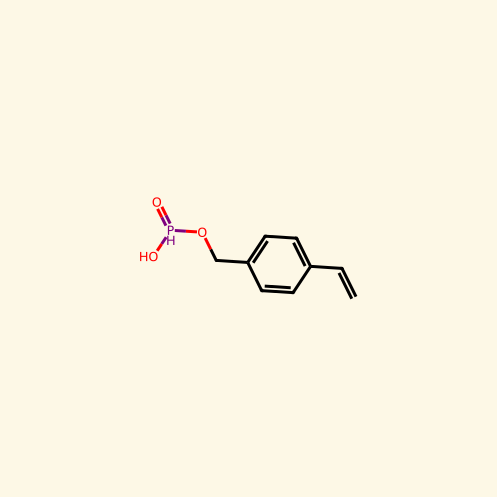 C=Cc1ccc(CO[PH](=O)O)cc1